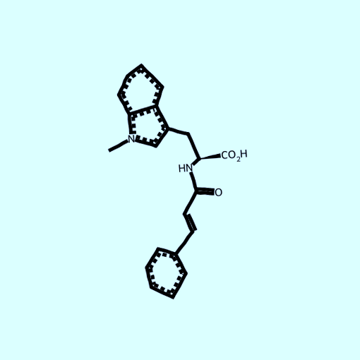 Cn1cc(C[C@H](NC(=O)C=Cc2ccccc2)C(=O)O)c2ccccc21